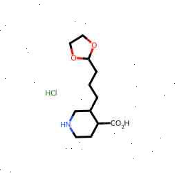 Cl.O=C(O)C1CCNCC1CCCC1OCCO1